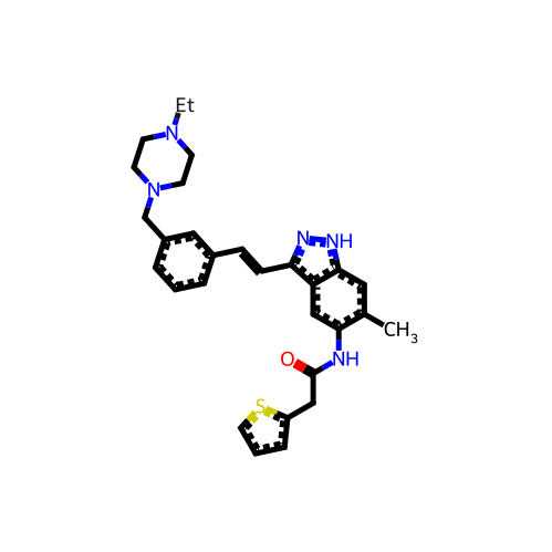 CCN1CCN(Cc2cccc(/C=C/c3n[nH]c4cc(C)c(NC(=O)Cc5cccs5)cc34)c2)CC1